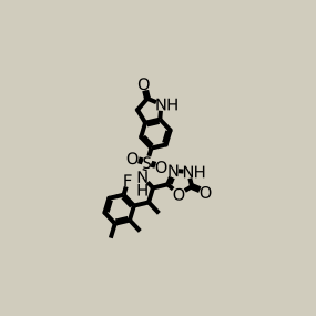 Cc1ccc(F)c(C(C)C(NS(=O)(=O)c2ccc3c(c2)CC(=O)N3)c2n[nH]c(=O)o2)c1C